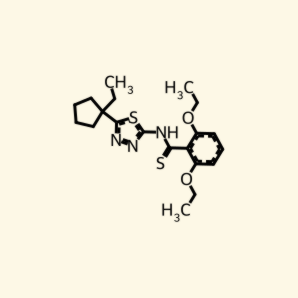 CCOc1cccc(OCC)c1C(=S)Nc1nnc(C2(CC)CCCC2)s1